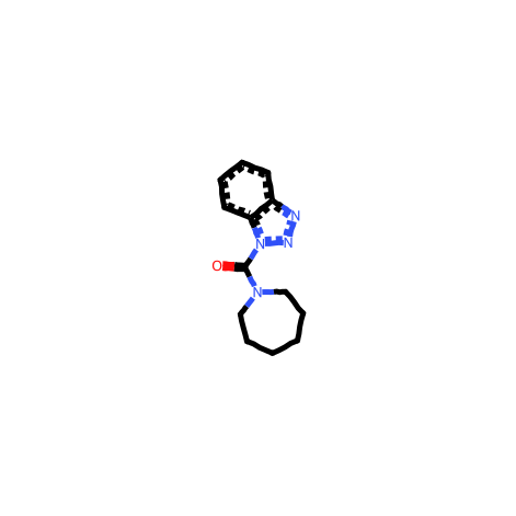 O=C(N1CCCCCC1)n1nnc2ccccc21